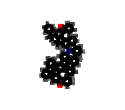 CC1(C)c2ccccc2-c2c1c1c(c3c2oc2ccccc23)-c2ccc(N(c3ccc4c(c3)C3(c5ccccc5-c5ccccc53)c3cc5c(cc3-4)C3(c4ccccc4-c4ccccc43)c3ccc4oc6ccccc6c4c3-5)c3ccccc3-c3ccccc3)cc2C1(C)C